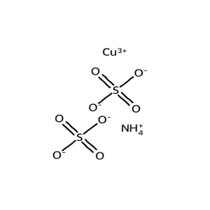 O=S(=O)([O-])[O-].O=S(=O)([O-])[O-].[Cu+3].[NH4+]